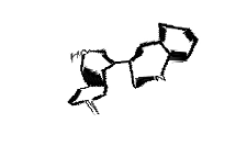 c1ccc2ncc(-c3c[nH]c4ccncc34)cc2c1